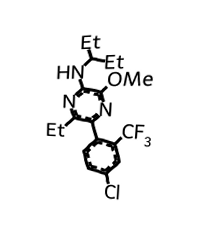 CCc1nc(NC(CC)CC)c(OC)nc1-c1ccc(Cl)cc1C(F)(F)F